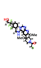 COc1nc2ncnc(N[C@H](C)c3cccc(C(F)(F)[C@H](C)O)c3F)c2cc1C1(OC)CCN(C(=O)CF)CC1